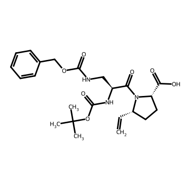 C=C[C@H]1CC[C@@H](C(=O)O)N1C(=O)[C@H](CNC(=O)OCc1ccccc1)NC(=O)OC(C)(C)C